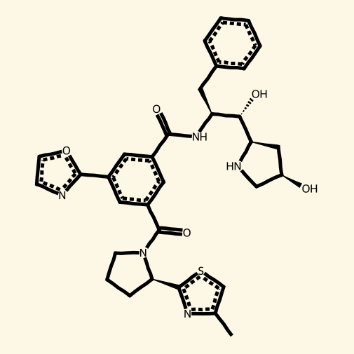 Cc1csc([C@H]2CCCN2C(=O)c2cc(C(=O)N[C@@H](Cc3ccccc3)[C@H](O)[C@H]3C[C@@H](O)CN3)cc(-c3ncco3)c2)n1